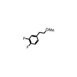 COC[CH]c1ccc(F)c(F)c1